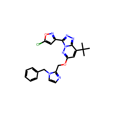 CC(C)(C)c1cc(OCc2nccn2Cc2ccccc2)nn2c(-c3cc(Cl)on3)nnc12